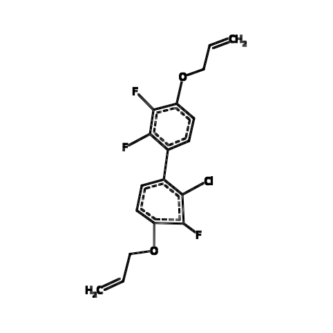 C=CCOc1ccc(-c2ccc(OCC=C)c(F)c2Cl)c(F)c1F